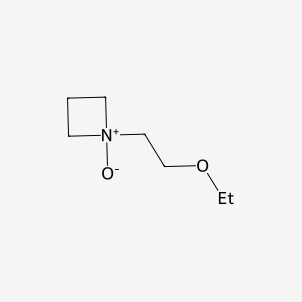 CCOCC[N+]1([O-])CCC1